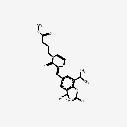 COC(=O)CCCN1C=CS/C(=C\c2cc(C(C)C)c(OC(C)=O)c(C(C)C)c2)C1=O